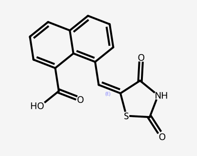 O=C1NC(=O)/C(=C\c2cccc3cccc(C(=O)O)c23)S1